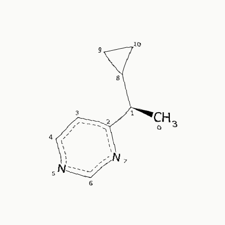 C[C@@H](c1ccncn1)C1CC1